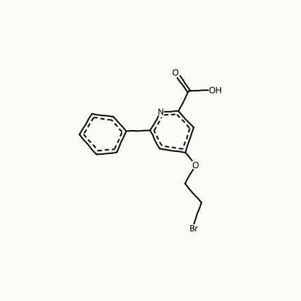 O=C(O)c1cc(OCCBr)cc(-c2ccccc2)n1